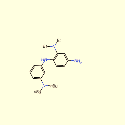 CCCCN(CCCC)c1cccc(Nc2ccc(N)cc2N(CC)CC)c1